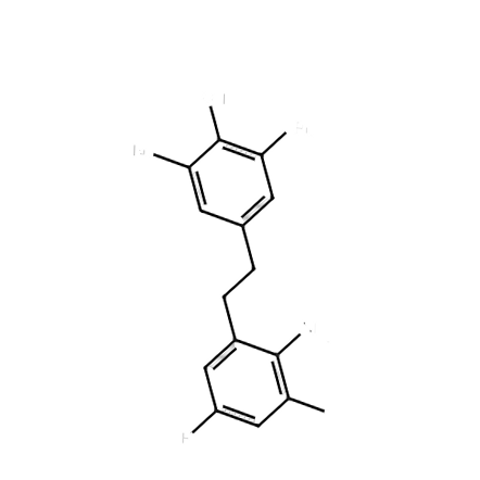 CC(C)(C)c1cc(CCc2cc(F)cc(F)c2N)cc(C(C)(C)C)c1O